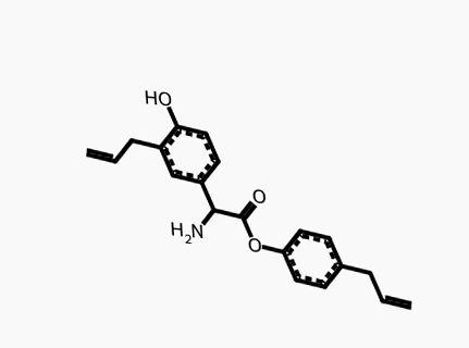 C=CCc1ccc(OC(=O)C(N)c2ccc(O)c(CC=C)c2)cc1